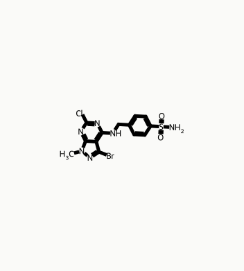 Cn1nc(Br)c2c(NCc3ccc(S(N)(=O)=O)cc3)nc(Cl)nc21